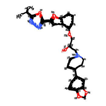 CC(C)c1nnc(-c2cc3c(OC[C@H](O)CN4CCC(c5ccc6c(c5)OCO6)CC4)cccc3o2)o1